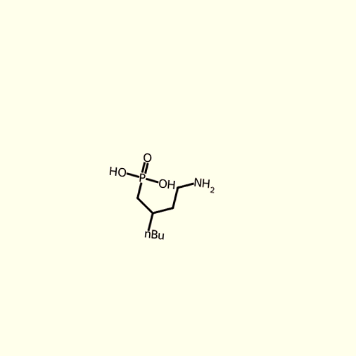 CCCCC(CCN)CP(=O)(O)O